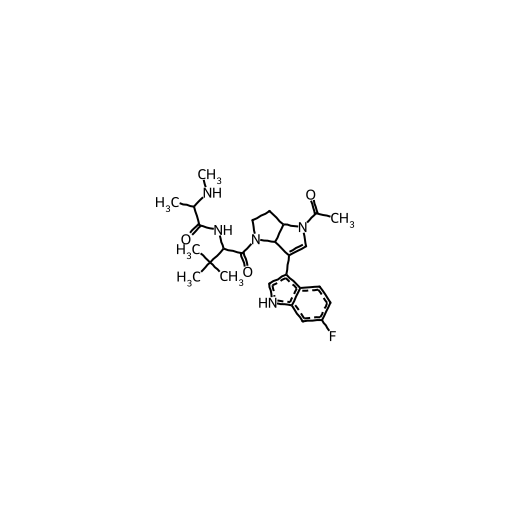 CNC(C)C(=O)NC(C(=O)N1CCC2C1C(c1c[nH]c3cc(F)ccc13)=CN2C(C)=O)C(C)(C)C